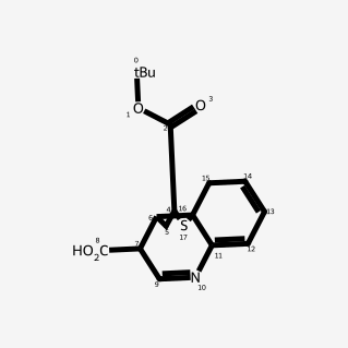 CC(C)(C)OC(=O)C1CC2C(C(=O)O)C=NC3=CC=CCC32S1